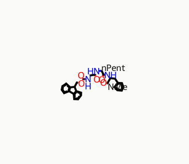 CCCCCC(NC(=O)CNC(=O)OCC1c2ccccc2-c2ccccc21)C(=O)NC(Cc1ccccc1)C(=O)NC